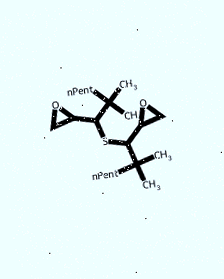 CCCCCC(C)(C)C(SC(C1CO1)C(C)(C)CCCCC)C1CO1